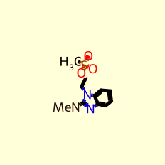 CNc1nc2ccccc2n1CCOS(C)(=O)=O